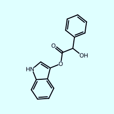 O=C(Oc1c[nH]c2ccccc12)C(O)c1ccccc1